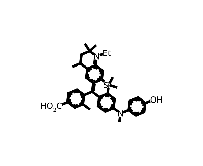 CC[N+]1=c2cc3c(cc2C(C)CC1(C)C)=C(c1ccc(C(=O)O)cc1C)c1ccc(N(C)c2ccc(O)cc2)cc1[Si]3(C)C